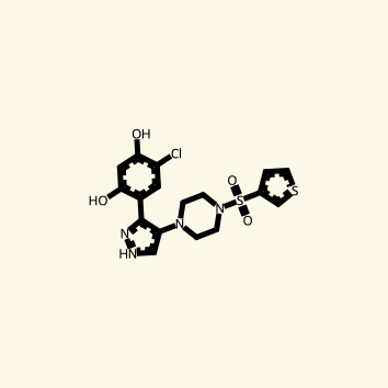 O=S(=O)(c1ccsc1)N1CCN(c2c[nH]nc2-c2cc(Cl)c(O)cc2O)CC1